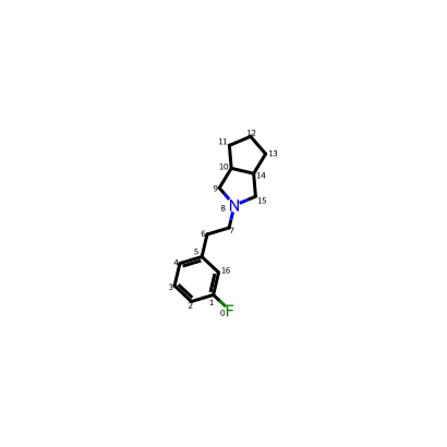 Fc1cccc(CCN2CC3CCCC3C2)c1